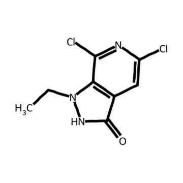 CCn1[nH]c(=O)c2cc(Cl)nc(Cl)c21